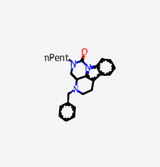 CCCCCN1CC2c3c(c4ccccc4n3C1=O)CCN2Cc1ccccc1